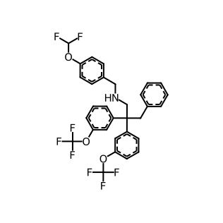 FC(F)Oc1ccc(CNCC(Cc2ccccc2)(c2cccc(OC(F)(F)F)c2)c2cccc(OC(F)(F)F)c2)cc1